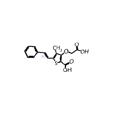 Cc1c(/C=C/c2ccccc2)sc(C(=O)O)c1OCC(=O)O